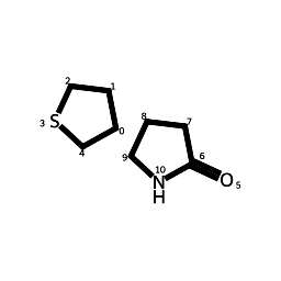 C1CCSC1.O=C1CCCN1